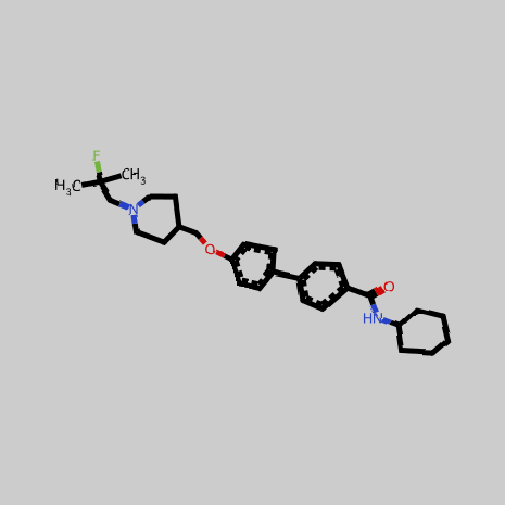 CC(C)(F)CN1CCC(COc2ccc(-c3ccc(C(=O)NC4CCCCC4)cc3)cc2)CC1